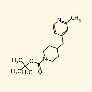 Cc1cc(CC2CCN(C(=O)OC(C)(C)C)CC2)ccn1